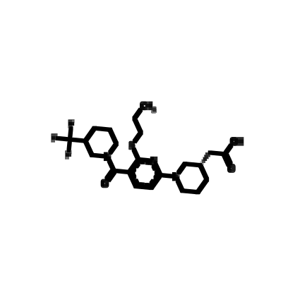 CCCSc1nc(N2CCC[C@@H](CC(=O)O)C2)ccc1C(=O)N1CCCC(C(F)(F)F)C1